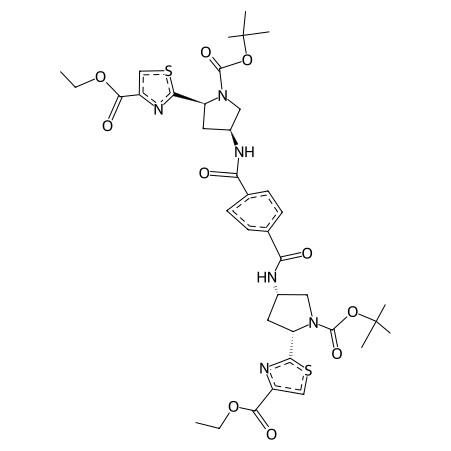 CCOC(=O)c1csc([C@@H]2C[C@H](NC(=O)c3ccc(C(=O)N[C@H]4C[C@@H](c5nc(C(=O)OCC)cs5)N(C(=O)OC(C)(C)C)C4)cc3)CN2C(=O)OC(C)(C)C)n1